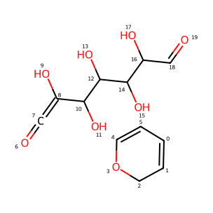 C1=CCOC=C1.O=C=C(O)C(O)C(O)C(O)C(O)C=O